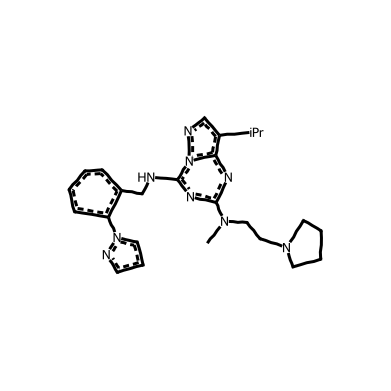 CC(C)c1cnn2c(NCc3ccccc3-n3cccn3)nc(N(C)CCN3CCCC3)nc12